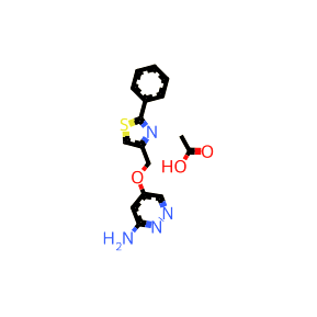 CC(=O)O.Nc1cc(OCc2csc(-c3ccccc3)n2)cnn1